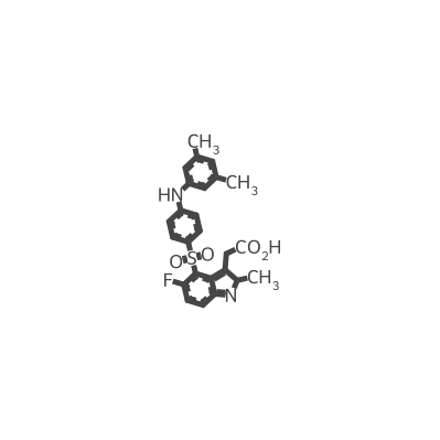 Cc1cc(C)cc(Nc2ccc(S(=O)(=O)c3c(F)ccc4c3=C(CC(=O)O)C(C)N=4)cc2)c1